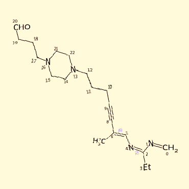 C=N/C(CC)=N\C=C(/C)C#CCCCN1CCN(CCCC=O)CC1